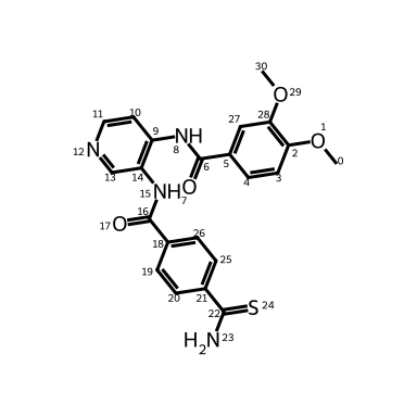 COc1ccc(C(=O)Nc2ccncc2NC(=O)c2ccc(C(N)=S)cc2)cc1OC